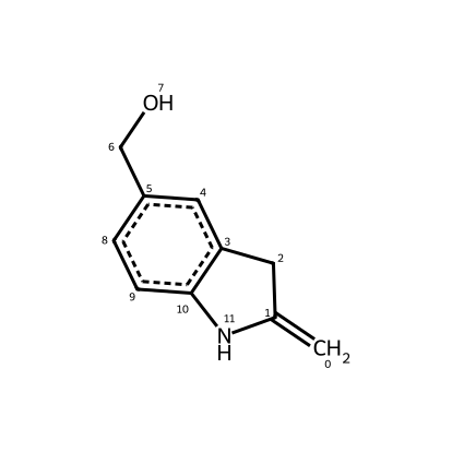 C=C1Cc2cc(CO)ccc2N1